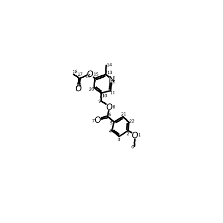 COc1ccc(C(=O)OCc2cnc(C)c(OC(C)=O)c2)cc1